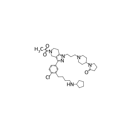 CS(=O)(=O)N1CCc2c(c(-c3ccc(Cl)c(CCCCNC4CCCC4)c3)nn2CCCN2CCC(N3CCCC3=O)CC2)C1